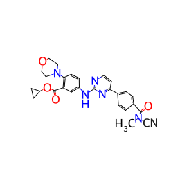 CN(C#N)C(=O)c1ccc(-c2ccnc(Nc3ccc(N4CCOCC4)c(C(=O)OC4CC4)c3)n2)cc1